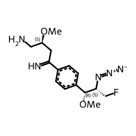 CO[C@H](CN)CC(=N)c1ccc([C@@H](OC)[C@@H](CF)N=[N+]=[N-])cc1